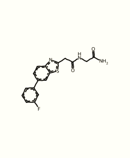 NC(=O)CNC(=O)Cc1nc2ccc(-c3cccc(F)c3)cc2s1